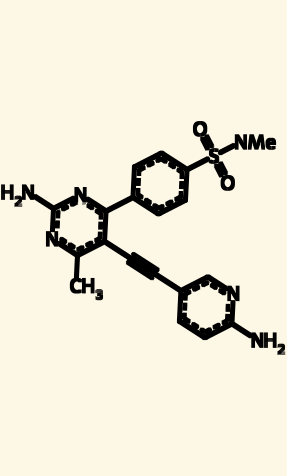 CNS(=O)(=O)c1ccc(-c2nc(N)nc(C)c2C#Cc2ccc(N)nc2)cc1